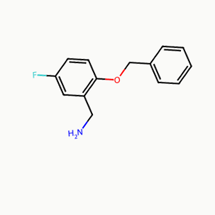 NCc1cc(F)ccc1OCc1ccccc1